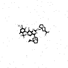 Cc1cc(N)c(F)c(-c2ncc3c(N4CC5CCC(C6CC6)(C4)N5)nc(OC[C@@]45CCCN4CC(=C(F)F)C5)nc3c2F)c1C(F)(F)F